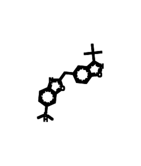 C[SH](C)c1ccc2nc(Cc3ccc4onc(C(C)(C)C)c4c3)oc2c1